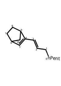 CCCCCCC=CC1=CC2CCC1C2